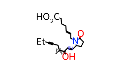 CCC#CC[C@H](C)[C@H](O)/C=C/C1CCC(=O)N1CC=CCCCC(=O)O